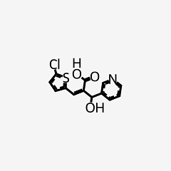 O=C(O)C(=Cc1ccc(Cl)s1)C(O)c1cccnc1